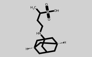 CC(CCNC12CC3C[C@H](C1)C[C@@H](C3)C2)S(=O)(=O)O